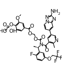 COc1cc(C(=O)OCOC(=O)N(C(=O)c2cc(-c3ccn4nc(N)nc4c3)cnc2C)[C@H](C)c2cc(OCC(F)(F)F)ccc2F)ccc1OP(=O)(O)O